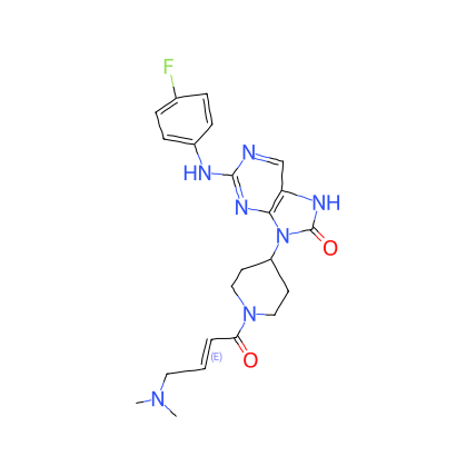 CN(C)C/C=C/C(=O)N1CCC(n2c(=O)[nH]c3cnc(Nc4ccc(F)cc4)nc32)CC1